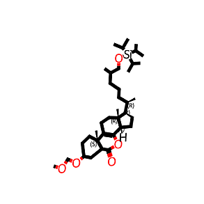 COCOC1CC[C@]2(C)C3=C(OC(=O)C2C1)[C@@H]1CC[C@H]([C@H](C)CCCC(C)CO[Si](C(C)C)(C(C)C)C(C)C)[C@@]1(C)CC3